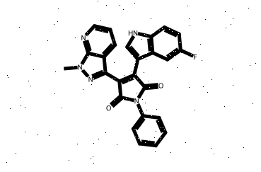 Cn1nc(C2=C(c3c[nH]c4ccc(F)cc34)C(=O)N(c3ccccc3)C2=O)c2cccnc21